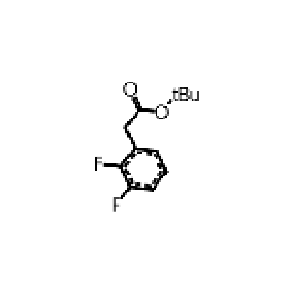 CC(C)(C)OC(=O)Cc1cccc(F)c1F